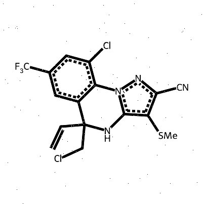 C=CC1(CCl)Nc2c(SC)c(C#N)nn2-c2c(Cl)cc(C(F)(F)F)cc21